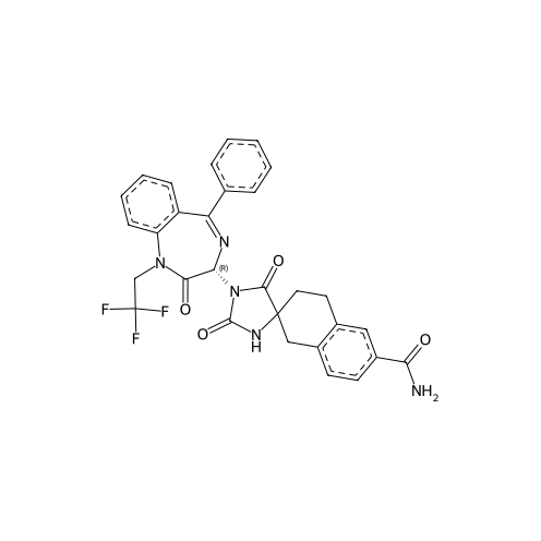 NC(=O)c1ccc2c(c1)CCC1(C2)NC(=O)N([C@H]2N=C(c3ccccc3)c3ccccc3N(CC(F)(F)F)C2=O)C1=O